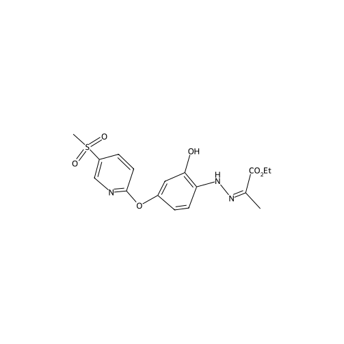 CCOC(=O)/C(C)=N\Nc1ccc(Oc2ccc(S(C)(=O)=O)cn2)cc1O